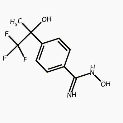 CC(O)(c1ccc(C(=N)NO)cc1)C(F)(F)F